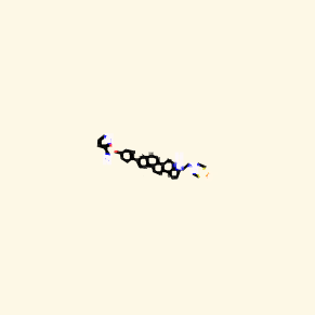 CC1(C)C(C2=CCC(COc3ncccc3C#N)CC2)=CCC2(C)C1CC[C@@]1(C)C3CCC4(NCCN5CC[S+]([O-])CC5)CCC[C@@H]4C3CCC21